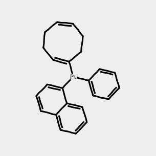 C1=CCC[C]([Pt]([c]2ccccc2)[c]2cccc3ccccc23)=CCC1